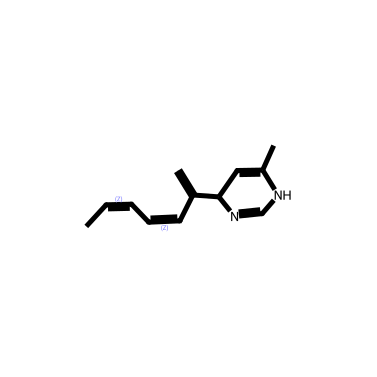 C=C(/C=C\C=C/C)C1C=C(C)NC=N1